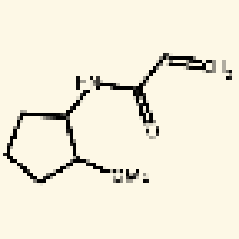 C=CC(=O)NC1CCCC1OC